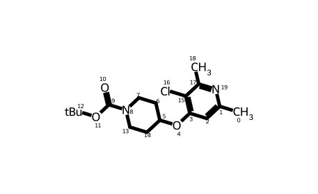 Cc1cc(OC2CCN(C(=O)OC(C)(C)C)CC2)c(Cl)c(C)n1